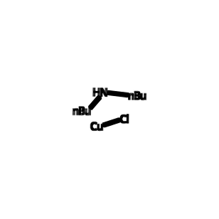 CCCCNCCCC.[Cl][Cu]